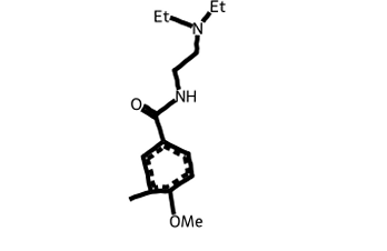 CCN(CC)CCNC(=O)c1ccc(OC)c(C)c1